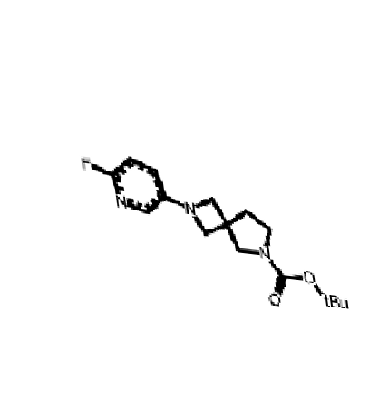 CC(C)(C)OC(=O)N1CCC2(C1)CN(c1ccc(F)nc1)C2